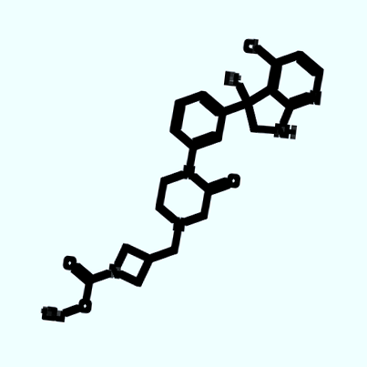 CCC1(c2cccc(N3CCN(CC4CN(C(=O)OC(C)(C)C)C4)CC3=O)c2)CNc2nccc(Cl)c21